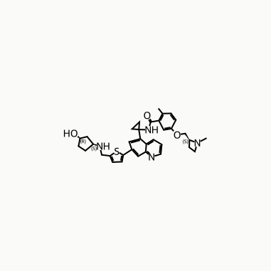 Cc1ccc(OC[C@@H]2CCN2C)cc1C(=O)NC1(c2cc(-c3ccc(CN[C@H]4CC[C@@H](O)C4)s3)cc3ncccc23)CC1